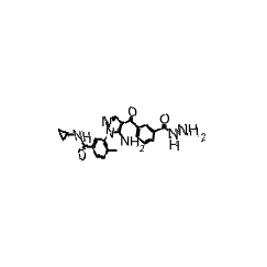 Cc1ccc(C(=O)NC2CC2)cc1-n1ncc(C(=O)c2cccc(C(=O)NN)c2)c1N